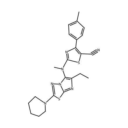 CCc1nc2sc(N3CCCCC3)nn2c1N(C)c1nc(-c2ccc(C)cc2)c(C#N)s1